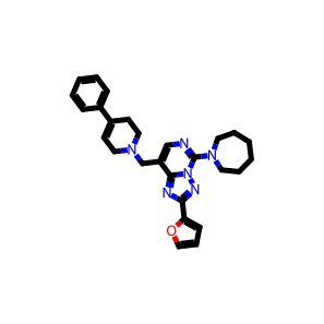 C1=C(c2ccccc2)CCN(Cc2cnc(N3CCCCCC3)n3nc(-c4ccco4)nc23)C1